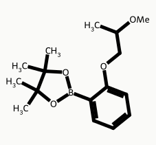 COC(C)COc1ccccc1B1OC(C)(C)C(C)(C)O1